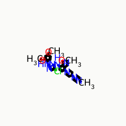 COc1ccc(Nc2ncc(Cl)c(Nc3ccc(N4CCC(N5CCN(C)CC5)CC4)c4c3C(=O)N(C)C4)n2)c(OC)c1